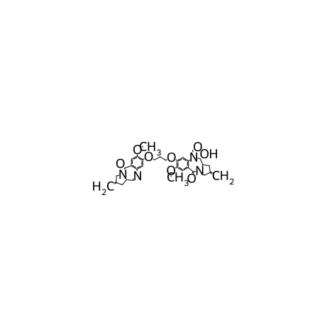 C=C1CC2C=Nc3cc(OCCCOc4cc5c(cc4OC)C(=O)N4CC(=C)CC4C(O)N5C=O)c(OC)cc3C(=O)N2C1